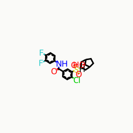 O=C(Nc1ccc(F)c(F)c1)c1ccc(Cl)c(S(=O)(=O)[C@H]2CC3CCC(C2)[C@H]3O)c1